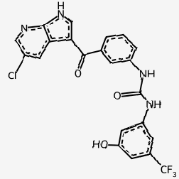 O=C(Nc1cccc(C(=O)c2c[nH]c3ncc(Cl)cc23)c1)Nc1cc(O)cc(C(F)(F)F)c1